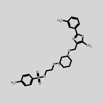 Cc1ccc(S(=O)(=O)OCCO[C@@H]2CCC[C@H](OCc3nc(-c4cccc(C)c4)oc3C)C2)cc1